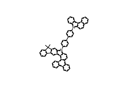 CC1(C)c2ccccc2-c2cc3c4c5c6ccccc6c6ccccc6c5ccc4n(-c4ccc(-c5ccc(-n6c7ccccc7c7c8ccccc8ccc76)cc5)cc4)c3cc21